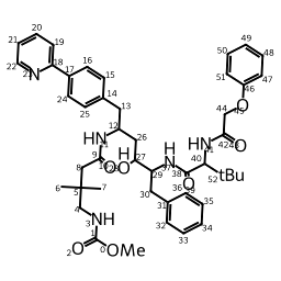 COC(=O)NCC(C)(C)CC(=O)NC(Cc1ccc(-c2ccccn2)cc1)CC(O)C(Cc1ccccc1)NC(=O)C(NC(=O)COc1ccccc1)C(C)(C)C